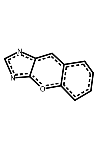 c1ccc2oc3ncnc-3cc2c1